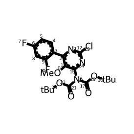 COc1c(-c2ccc(F)cc2F)nc(Cl)nc1N(C(=O)OC(C)(C)C)C(=O)OC(C)(C)C